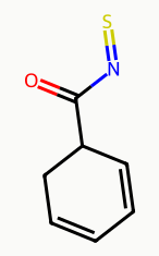 O=C(N=S)C1C=CC=CC1